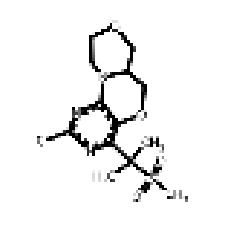 CC(C)(c1nc(Cl)nc2c1OCC1COCCN21)S(C)(=O)=O